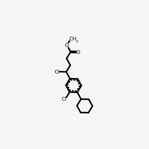 COC(=O)CCC(Cl)c1ccc(C2CCCCC2)c(Cl)c1